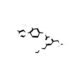 COc1cc(Nc2nc(COCC(F)(F)F)cc(CN(C)C)n2)ccc1-n1cnc(C)c1